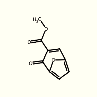 COC(=O)c1cc2ccc(o2)c1=O